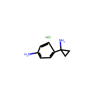 Cl.Nc1ccc(C2(N)CC2)cc1